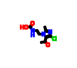 CC(=O)c1c(Cl)nc(C)n1CCNC(=O)O